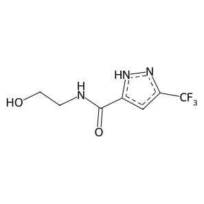 O=C(NCCO)c1cc(C(F)(F)F)n[nH]1